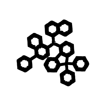 c1ccc(-c2ccc(N(c3cccc4c3-c3ccccc3C4(c3ccccc3)c3ccccc3)c3cccc4ccccc34)c3ccccc23)cc1